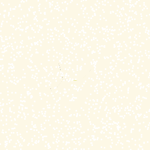 CC(=O)SC(C)C(C)=O